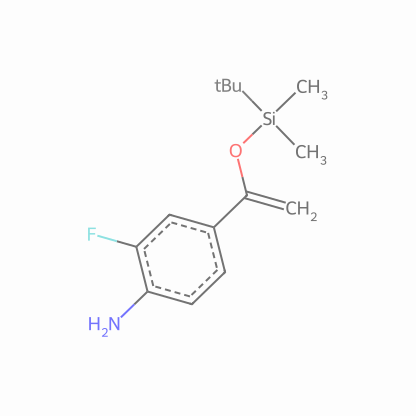 C=C(O[Si](C)(C)C(C)(C)C)c1ccc(N)c(F)c1